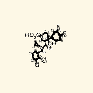 O=C(O)N1CC[C@](O)(c2ccc(F)c(F)c2)[C@@H](C(=O)N(Cc2cccc(Cl)c2Cl)C2CC2)C1